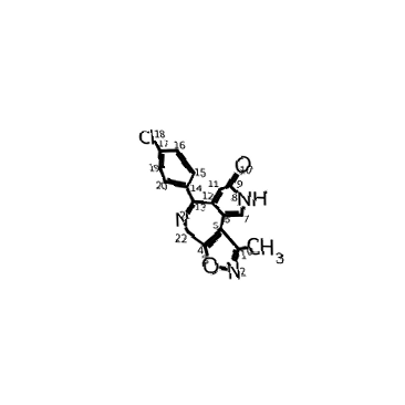 Cc1noc2c1-c1c[nH]c(=O)cc1C(c1ccc(Cl)cc1)=NC2